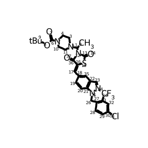 CC(N1CCN(C(=O)OC(C)(C)C)CC1)N1C(=O)SC(=Cc2ccc3c(cnn3Cc3ccc(Cl)cc3C(F)(F)F)c2)C1=O